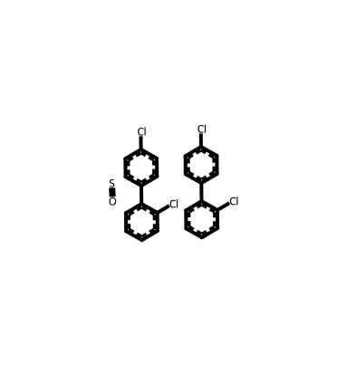 Clc1ccc(-c2ccccc2Cl)cc1.Clc1ccc(-c2ccccc2Cl)cc1.O=S